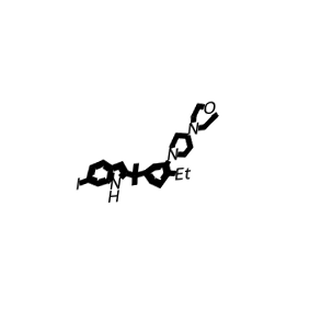 CCc1ccc(C(C)(C)c2cc3ccc(I)cc3[nH]2)cc1N1CCC(N2CCOCC2)CC1